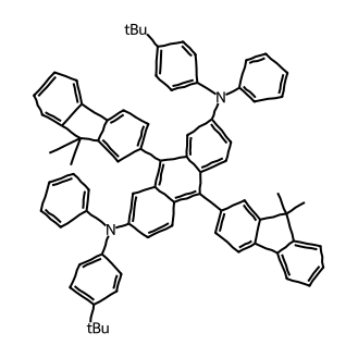 CC(C)(C)c1ccc(N(c2ccccc2)c2ccc3c(-c4ccc5c(c4)C(C)(C)c4ccccc4-5)c4ccc(N(c5ccccc5)c5ccc(C(C)(C)C)cc5)cc4c(-c4ccc5c(c4)C(C)(C)c4ccccc4-5)c3c2)cc1